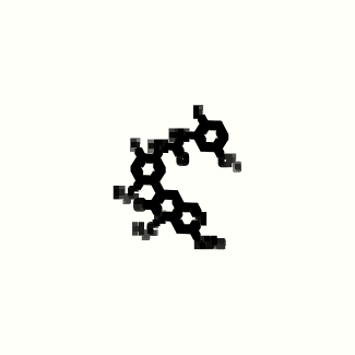 CNc1cc2c(cn1)cc(-c1cc(NC(=O)Nc3cc(C(F)(F)F)ccc3F)c(F)cc1C)c(=O)n2C